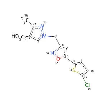 O=C(O)c1cn(Cc2cc(-c3ccc(Cl)s3)on2)nc1C(F)(F)F